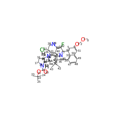 COCOc1cc(-c2ncc3c(N4C[C@@H]5[C@H]4CCN5C(=O)OC(C)(C)C)c(Cl)cnc3c2F)c2c(C#C[Si](C(C)C)(C(C)C)C(C)C)cccc2c1